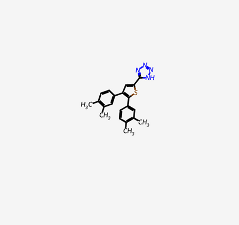 Cc1ccc(-c2cc(-c3nnn[nH]3)sc2-c2ccc(C)c(C)c2)cc1C